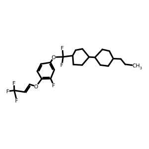 CCCC1CCC(C2CCC(C(F)(F)Oc3ccc(O/C=C/C(F)(F)F)c(F)c3)CC2)CC1